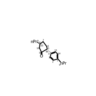 CCCc1ccc([C@H]2CC[C@H](CCC)CC2=O)cc1